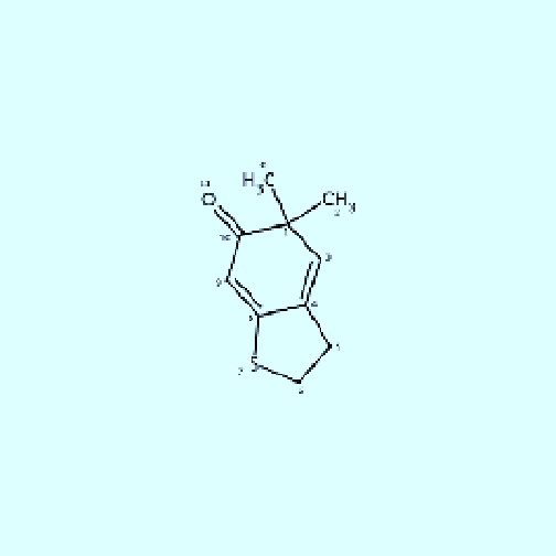 CC1(C)C=C2CCSC2=CC1=O